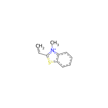 C=Cc1sc2ccccc2[n+]1C